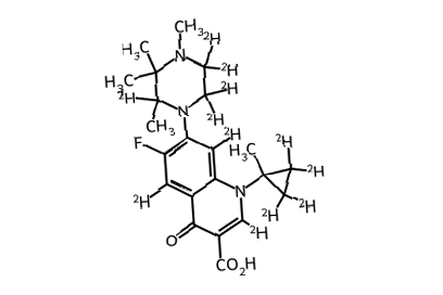 [2H]c1c(F)c(N2C([2H])([2H])C([2H])([2H])N(C)C(C)(C)C2([2H])C)c([2H])c2c1c(=O)c(C(=O)O)c([2H])n2C1(C)C([2H])([2H])C1([2H])[2H]